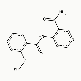 CCCOc1ccccc1C(=O)Nc1ccncc1C(N)=O